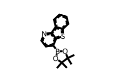 CC1(C)OB(c2ccnc3c2sc2ccccc23)OC1(C)C